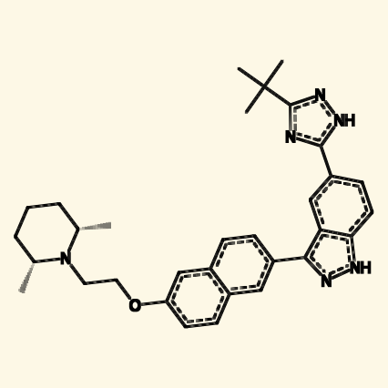 C[C@@H]1CCC[C@H](C)N1CCOc1ccc2cc(-c3n[nH]c4ccc(-c5nc(C(C)(C)C)n[nH]5)cc34)ccc2c1